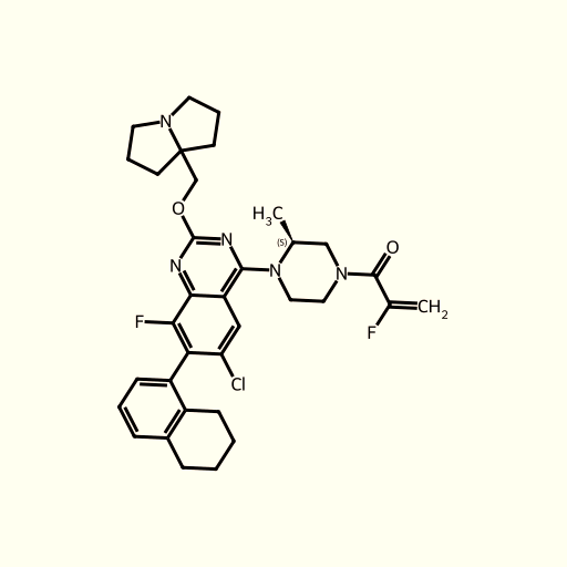 C=C(F)C(=O)N1CCN(c2nc(OCC34CCCN3CCC4)nc3c(F)c(-c4cccc5c4CCCC5)c(Cl)cc23)[C@@H](C)C1